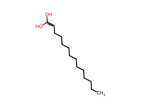 CCCCCCCCCCCCC=C(O)O